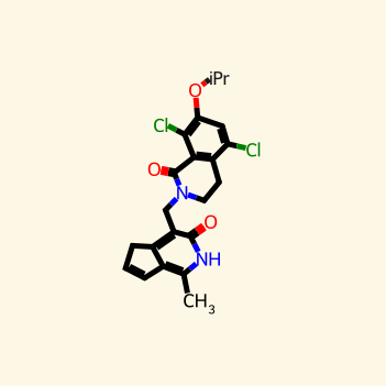 Cc1[nH]c(=O)c(CN2CCc3c(Cl)cc(OC(C)C)c(Cl)c3C2=O)c2c1C=CC2